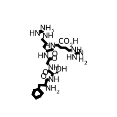 N=C(N)NCCC[C@H](NC(=O)[C@H](CCCNC(=N)N)NC(=O)CNC(=O)[C@H](CO)NC(=O)[C@@H](N)Cc1ccccc1)C(=O)O